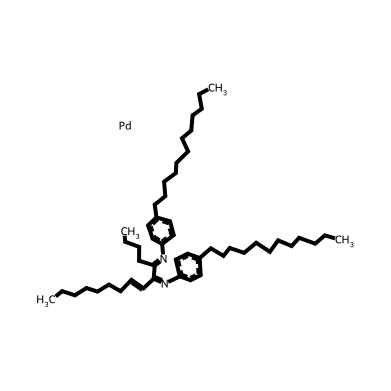 CCCCCCCC=CC(=Nc1ccc(CCCCCCCCCCCC)cc1)C(CCCC)=Nc1ccc(CCCCCCCCCCCC)cc1.[Pd]